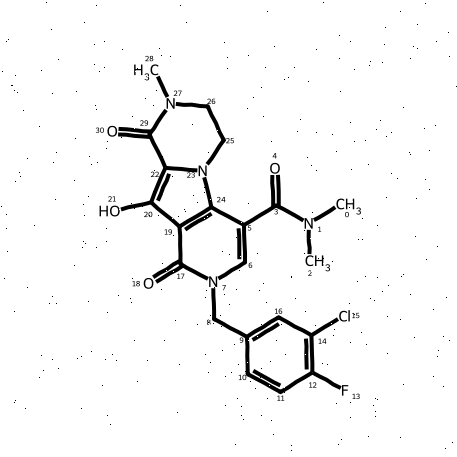 CN(C)C(=O)c1cn(Cc2ccc(F)c(Cl)c2)c(=O)c2c(O)c3n(c12)CCN(C)C3=O